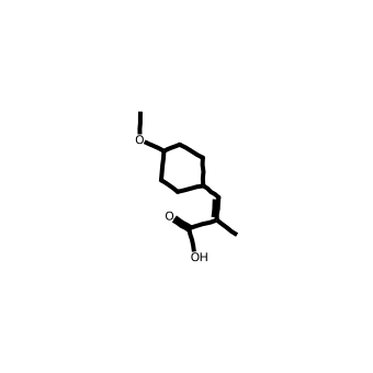 COC1CCC(C=C(C)C(=O)O)CC1